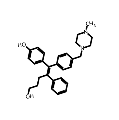 CN1CCN(Cc2ccc(/C(=C(/CCCO)c3ccccc3)c3ccc(O)cc3)cc2)CC1